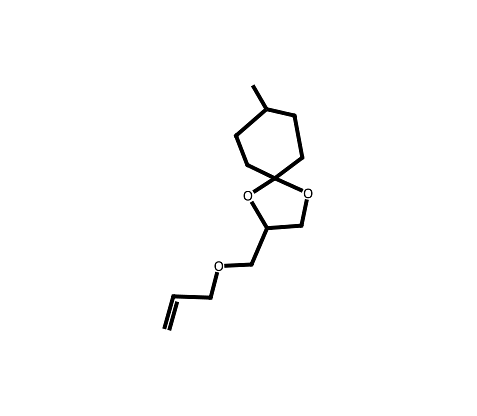 C=CCOCC1COC2(CCC(C)CC2)O1